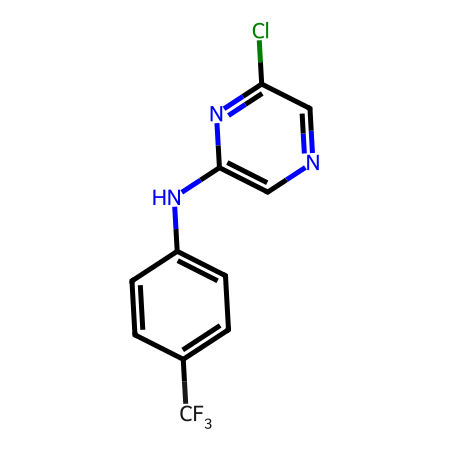 FC(F)(F)c1ccc(Nc2cncc(Cl)n2)cc1